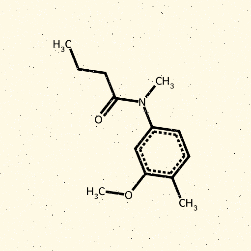 CCCC(=O)N(C)c1ccc(C)c(OC)c1